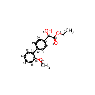 CCOC(=O)C(O)c1ccc(-c2ccccc2OC)cc1